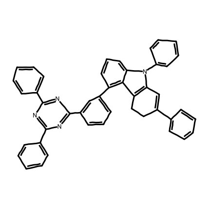 C1=C(c2ccccc2)CCc2c1n(-c1ccccc1)c1cccc(-c3cccc(-c4nc(-c5ccccc5)nc(-c5ccccc5)n4)c3)c21